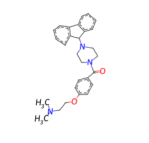 CN(C)CCOc1ccc(C(=O)N2CCN(C3c4ccccc4-c4ccccc43)CC2)cc1